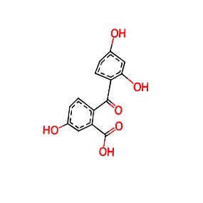 O=C(O)c1cc(O)ccc1C(=O)c1ccc(O)cc1O